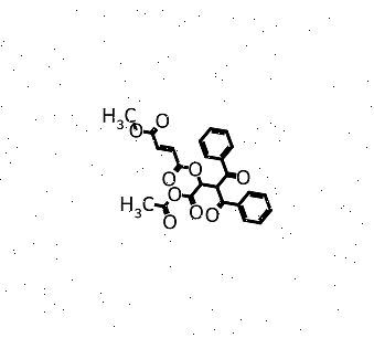 COC(=O)C=CC(=O)OC(C(=O)OC(C)=O)C(C(=O)c1ccccc1)C(=O)c1ccccc1